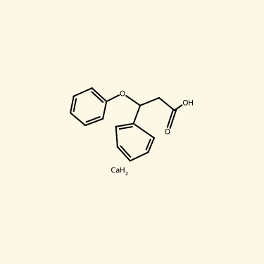 O=C(O)CC(Oc1ccccc1)c1ccccc1.[CaH2]